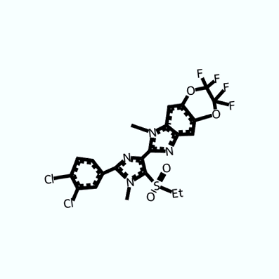 CCS(=O)(=O)c1c(-c2nc3cc4c(cc3n2C)OC(F)(F)C(F)(F)O4)nc(-c2ccc(Cl)c(Cl)c2)n1C